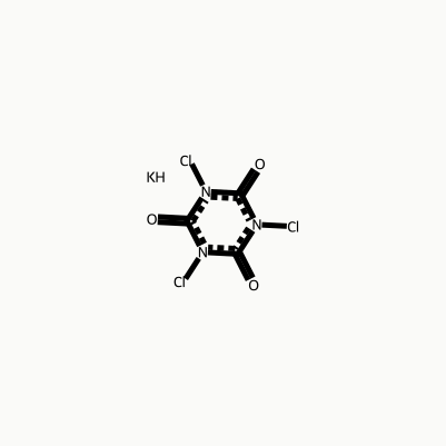 O=c1n(Cl)c(=O)n(Cl)c(=O)n1Cl.[KH]